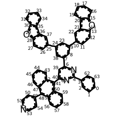 c1ccc(-c2nc(-c3cc(-c4ccc5oc6ccccc6c5c4)cc(-c4ccc5oc6ccccc6c5c4)c3)cc(-c3c4ccccc4c(-c4ccncc4)c4ccccc34)n2)cc1